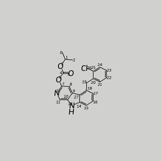 CC(C)OC(=O)Oc1cc2c(cn1)[nH]c1cccc(Cc3ccccc3Cl)c12